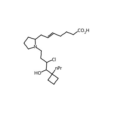 CCCC1(C(O)C(Cl)CCN2CCCC2CC=CCCCC(=O)O)CCC1